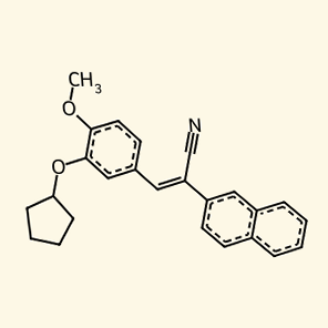 COc1ccc(/C=C(\C#N)c2ccc3ccccc3c2)cc1OC1CCCC1